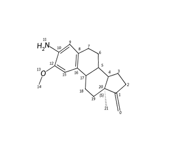 C=C1CCC2C3CCc4cc(N)c(OC)cc4C3CC[C@]12C